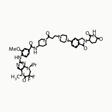 COc1cc(C(=O)NC2CCN(C(=O)CCN3CCN(c4ccc5c(c4)CN(C4CCC(=O)NC4=O)C5=O)CC3)CC2)ccc1Nc1ncc2c(n1)N(C(C)C)CC(F)(F)C(=O)N2C